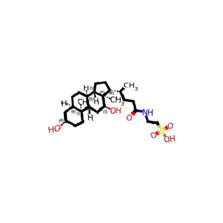 CC(CCC(=O)NCCS(=O)(=O)O)[C@H]1CC[C@H]2[C@@H]3CC[C@@H]4C[C@H](O)CC[C@]4(C)[C@H]3C[C@H](O)[C@]12C